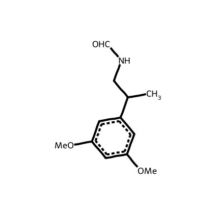 COc1cc(OC)cc(C(C)CNC=O)c1